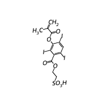 C=C(C)C(=O)Oc1c(I)cc(I)c(C(=O)OCCS(=O)(=O)O)c1I